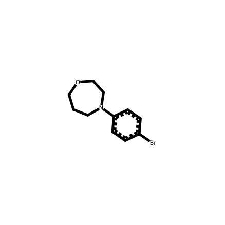 Brc1ccc(N2CCCOCC2)cc1